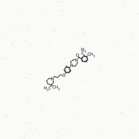 Cc1cccc(C(=O)N2CCN(c3ccc(OCCCN4CCCC(C)(C)C4)cc3)CC2)c1C